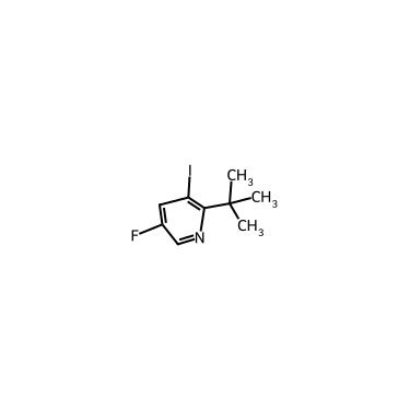 CC(C)(C)c1ncc(F)cc1I